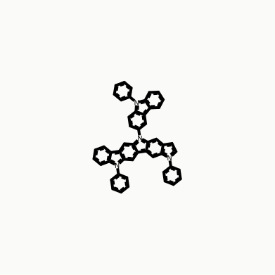 c1ccc(-n2ccc3cc4c(cc32)c2cc3c(cc2n4-c2ccc4c(c2)c2ccccc2n4-c2ccccc2)c2ccccc2n3-c2ccccc2)cc1